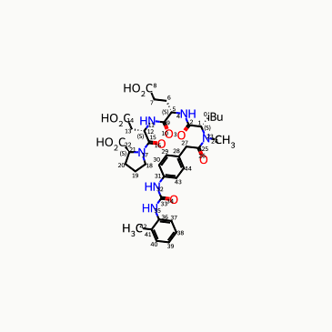 CCC(C)[C@@H](C(=O)N[C@@H](CCC(=O)O)C(=O)N[C@@H](CC(=O)O)C(=O)N1CCC[C@H]1C(=O)O)N(C)C(=O)Cc1ccc(NC(=O)Nc2ccccc2C)cc1